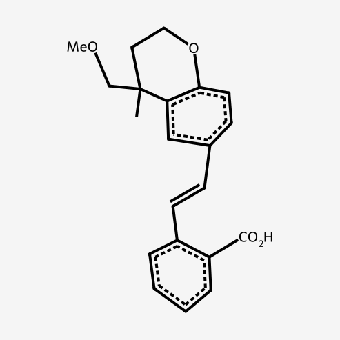 COCC1(C)CCOc2ccc(C=Cc3ccccc3C(=O)O)cc21